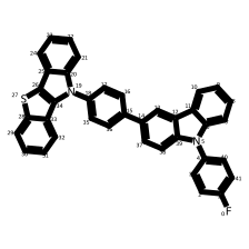 Fc1ccc(-n2c3ccccc3c3cc(-c4ccc(-n5c6ccccc6c6sc7ccccc7c65)cc4)ccc32)cc1